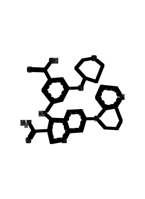 NC(=O)c1cnc2cc(N3CCCc4ncccc43)ccc2c1Nc1cc(OC2CCOCC2)cc(C(=O)O)c1